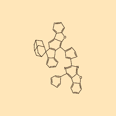 c1ccc(-c2nc(-c3cccc(-c4c5c(cc6c4oc4ccccc46)C4(c6ccccc6-5)C5CC6CC(C5)CC4C6)c3)nc3oc4ccccc4c23)cc1